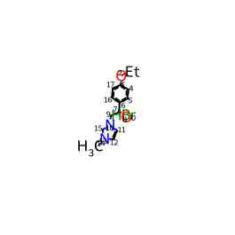 Br.CCOc1ccc(C(=O)CN2C=CN(C)C2)cc1